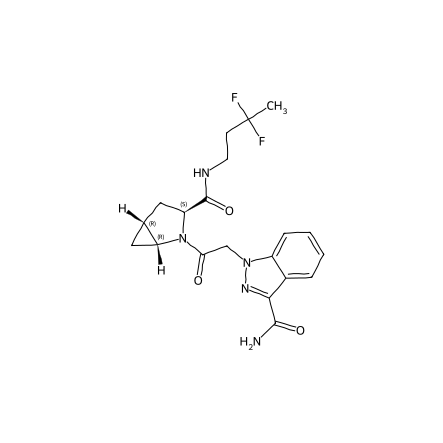 CC(F)(F)CCNC(=O)[C@@H]1C[C@H]2C[C@H]2N1C(=O)Cn1nc(C(N)=O)c2ccccc21